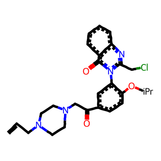 C=CCN1CCN(CC(=O)c2ccc(OC(C)C)c(-n3c(CCl)nc4ccccc4c3=O)c2)CC1